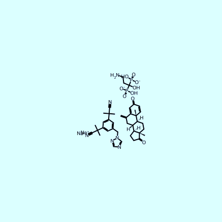 C=C1C[C@@H]2[C@H](CC[C@]3(C)C(=O)CC[C@@H]23)[C@@]2(C)C=CC(=O)C=C12.CC(C)(C#N)c1cc(Cn2cncn2)cc(C(C)(C)C#N)c1.NCCC(O)(P(=O)([O-])O)P(=O)([O-])O.[Na+].[Na+]